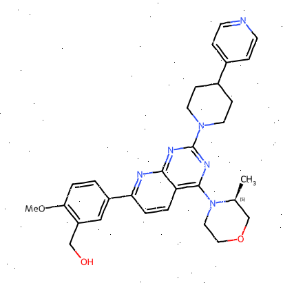 COc1ccc(-c2ccc3c(N4CCOC[C@@H]4C)nc(N4CCC(c5ccncc5)CC4)nc3n2)cc1CO